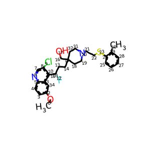 COc1ccc2ncc(Cl)c([C@@H](F)CCC3(CO)CCN(CCSc4ccccc4C)CC3)c2c1